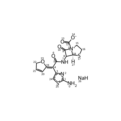 Nc1nc(/C(C(=O)NC2C(=O)[N+]3(C(=O)[O-])CCS[C@@H]23)=C2\C=CCO2)cs1.[NaH]